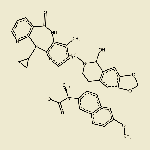 CN1CCc2cc3c(cc2C1O)OCO3.COc1ccc2cc([C@H](C)C(=O)O)ccc2c1.Cc1ccnc2c1NC(=O)c1cccnc1N2C1CC1